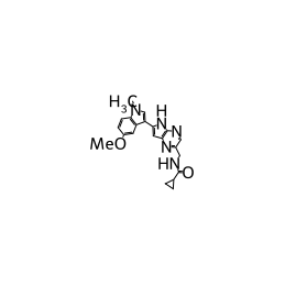 COc1ccc2c(c1)c(-c1cc3nc(CNC(=O)C4CC4)cnc3[nH]1)cn2C